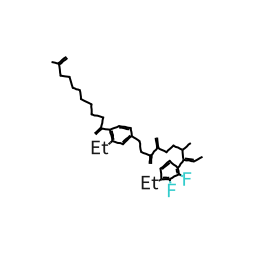 C=C(C)CCCCCCCCC(=C)c1ccc(CCC(=C)C(=C)CCC(C)/C(=C\C)c2ccc(CC)c(F)c2F)cc1CC